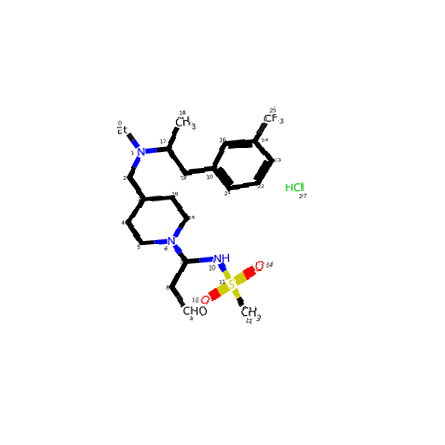 CCN(CC1CCN(C(CC=O)NS(C)(=O)=O)CC1)C(C)Cc1cccc(C(F)(F)F)c1.Cl